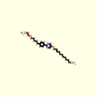 CCCCCCCCC/C=C/COc1cnc(-c2ccc(CCCCCOCCC)cc2)nc1